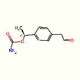 C[C@H](OC(N)=O)c1ccc(CC=O)cc1